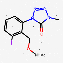 CC(=O)NOCc1c(I)cccc1-n1nnn(C)c1=O